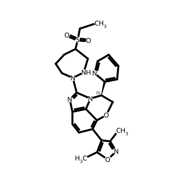 CCS(=O)(=O)C1CCCN(c2nc3ccc(-c4c(C)noc4C)c4c3n2[C@@H](c2ccccn2)CO4)NC1